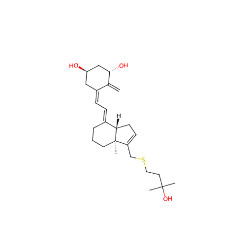 C=C1/C(=C\C=C2/CCC[C@]3(C)C(CSCCC(C)(C)O)=CC[C@@H]23)C[C@@H](O)C[C@@H]1O